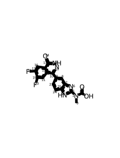 CN(C(=O)O)c1nc2cc(-c3n[nH]c(=O)c4cc(F)c(F)cc34)ccc2[nH]1